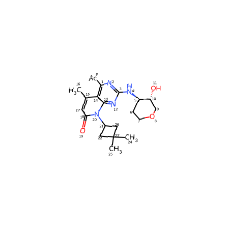 CC(=O)c1nc(N[C@@H]2CCOC[C@H]2O)nc2c1c(C)cc(=O)n2C1CC(C)(C)C1